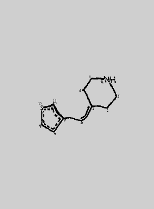 C(=C1CCNCC1)c1ccsc1